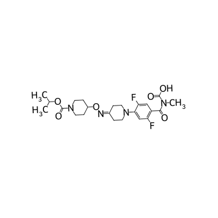 CC(C)OC(=O)N1CCC(ON=C2CCN(c3cc(F)c(C(=O)N(C)C(=O)O)cc3F)CC2)CC1